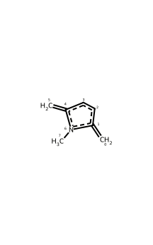 C=c1ccc(=C)n1C